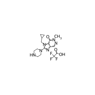 Cn1ncc2nc(N3CCNCC3)n(CC3CC3)c2c1=O.O=C(O)C(F)(F)F